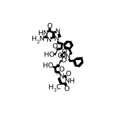 Cc1cn([C@H]2CC(O)[C@@H](COP(=O)(OC3C[C@H](n4cnc5c(=O)[nH]c(N)nc54)O[C@@H]3CO)N(Cc3ccccc3)Cc3ccccc3)O2)c(=O)[nH]c1=O